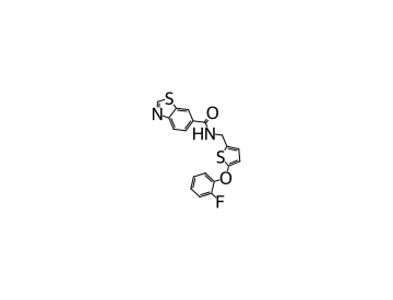 O=C(NCc1ccc(Oc2ccccc2F)s1)c1ccc2ncsc2c1